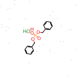 Cl.O=P(O)(OCc1ccccc1)OCc1ccccc1